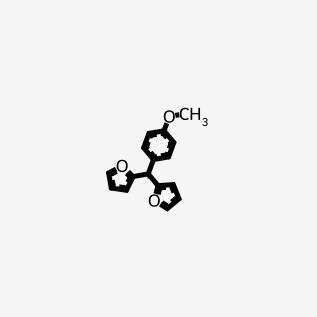 COc1ccc([C](c2ccco2)c2ccco2)cc1